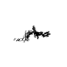 CC(C)c1c(C(=O)N2CCC(c3ccccc3)C2)nc(-c2ccc(F)cc2)n1CCC(O)CC(O)CC(=O)O